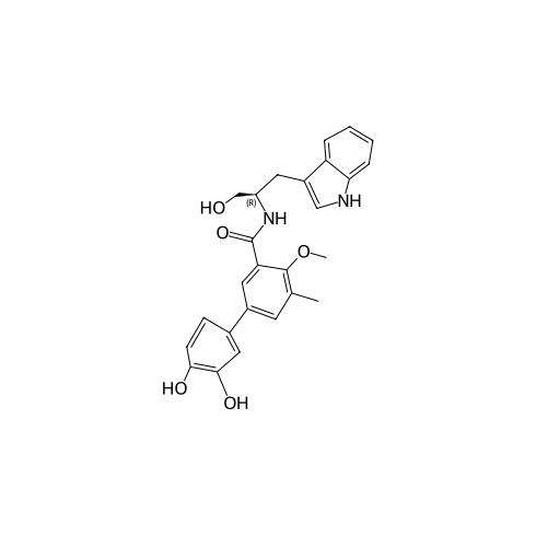 COc1c(C)cc(-c2ccc(O)c(O)c2)cc1C(=O)N[C@@H](CO)Cc1c[nH]c2ccccc12